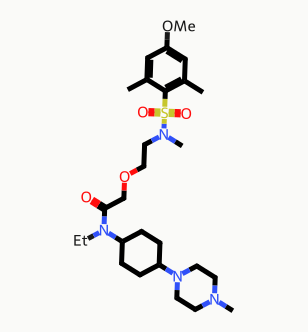 CCN(C(=O)COCCN(C)S(=O)(=O)c1c(C)cc(OC)cc1C)C1CCC(N2CCN(C)CC2)CC1